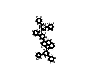 c1ccc(-c2cc(-c3ccccc3)cc(-n3c4cccc5ccc6c(-c7ccc8c(c7)c7ccccc7n8-c7nc(-c8ccccc8)nc(-c8ccccc8)n7)ccc3c6c54)c2)cc1